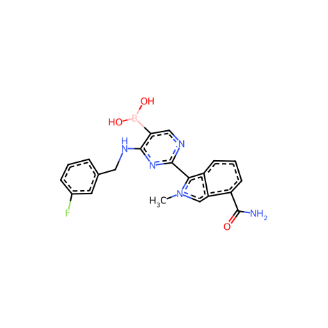 Cn1cc2c(C(N)=O)cccc2c1-c1ncc(B(O)O)c(NCc2cccc(F)c2)n1